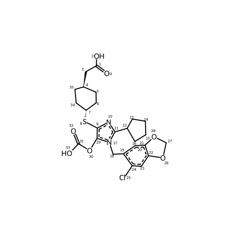 O=C(O)C[C@H]1CC[C@H](Sc2nc(C3CCCC3)n(Cc3cc4c(cc3Cl)OCO4)c2OC(=O)O)CC1